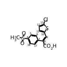 CS(=O)(=O)c1ccc(/C(=C\c2ccc(Cl)s2)C(=O)O)cc1